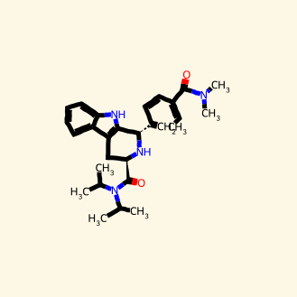 C=C(/C=C\C(=C/C)C(=O)N(C)C)[C@@H]1N[C@@H](C(=O)N(C(C)C)C(C)C)Cc2c1[nH]c1ccccc21